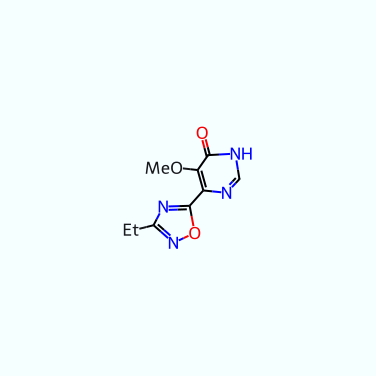 CCc1noc(-c2nc[nH]c(=O)c2OC)n1